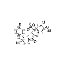 CCOc1cc2c(cc1Cl)N(S(C)(=O)=O)CC(C(=O)N1CCC(C#N)(Cc3ccc(F)cc3)CC1)O2